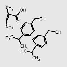 C/C=C(/C)C(=O)O.CC(C)c1ccc(CO)cc1.CC(C)c1ccc(CO)cc1